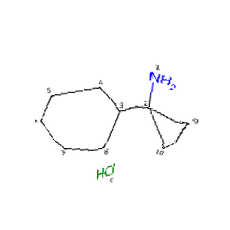 Cl.NC1(C2CCCCC2)CC1